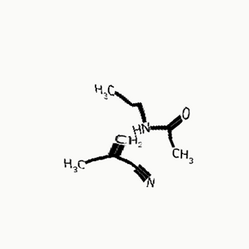 C=C(C)C#N.CCNC(C)=O